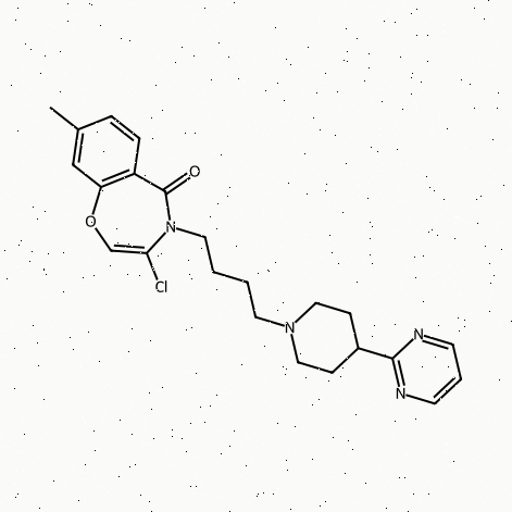 Cc1ccc2c(c1)OC=C(Cl)N(CCCCN1CCC(c3ncccn3)CC1)C2=O